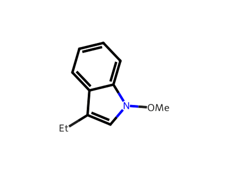 CCc1cn(OC)c2ccccc12